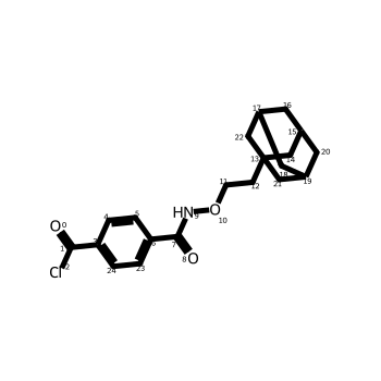 O=C(Cl)c1ccc(C(=O)NOCCC23CC4CC(CC(C4)C2)C3)cc1